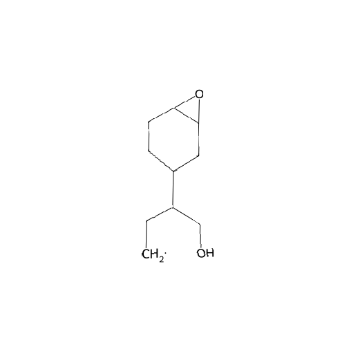 [CH2]CC(CO)C1CCC2OC2C1